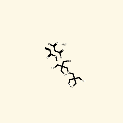 C=CC(=O)OC.O=C([O-])CC(=O)[O-].OCC(CO)(CO)COCC(CO)(CO)CO.[Mg+2]